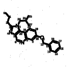 CCCc1nc2cnc3cc(OCc4ccccc4)ccc3c2n1CC(C)C